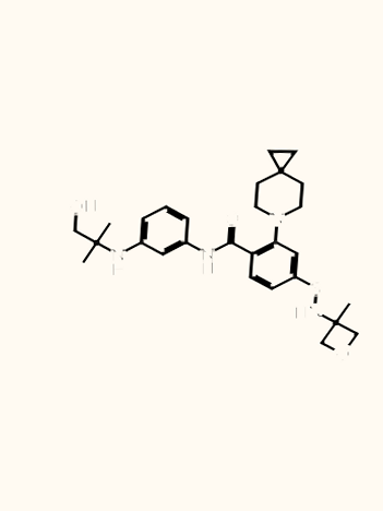 CC(C)(CO)Nc1cccc(NC(=O)c2ccc(SNC3(C)COC3)cc2N2CCC3(CC2)CC3)c1